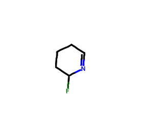 FC1CCCC=N1